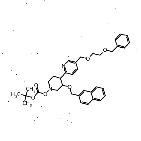 CC(C)(C)OC(=O)ON1CCC(c2ccc(COCCOCc3ccccc3)cn2)C(OCc2ccc3ccccc3c2)C1